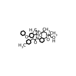 Cc1ccc(CC(=O)Nc2cccc3c2O[C@H](CN(C)Cc2ccc(Oc4ccccc4)cc2)[C@H](C)CN([C@@H](C)CO)C3=O)cc1